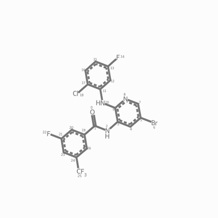 O=C(Nc1cc(Br)cnc1Nc1cc(F)ccc1Cl)c1cc(F)cc(C(F)(F)F)c1